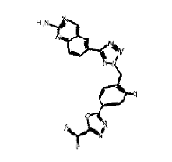 Nc1ncc2cc(-c3nnn(Cc4ccc(-c5nnc(C(F)F)o5)cc4Cl)n3)ccc2n1